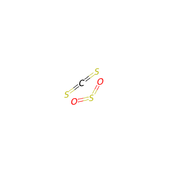 O=S=O.S=C=S